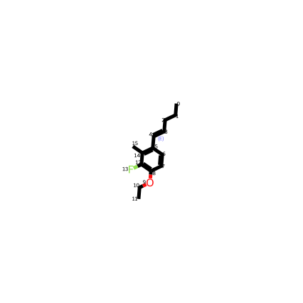 CCC/C=C/c1ccc(OCC)c(F)c1C